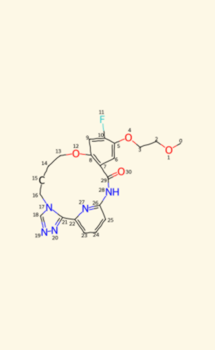 COCCOc1cc2c(cc1F)OCCCCn1cnnc1-c1cccc(n1)NC2=O